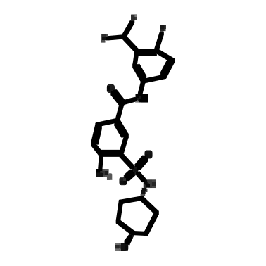 Nc1ccc(C(=O)Nc2ccc(F)c(C(F)F)c2)cc1S(=O)(=O)N[C@H]1CC[C@H](O)CC1